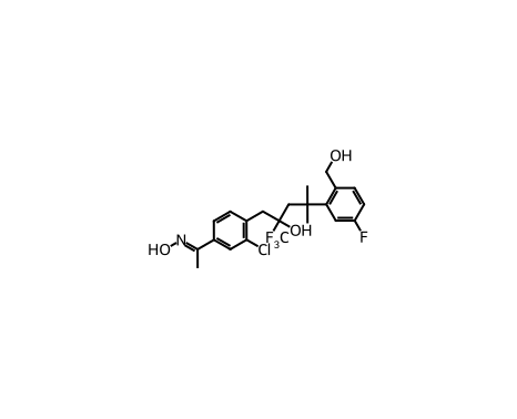 C/C(=N\O)c1ccc(CC(O)(CC(C)(C)c2cc(F)ccc2CO)C(F)(F)F)c(Cl)c1